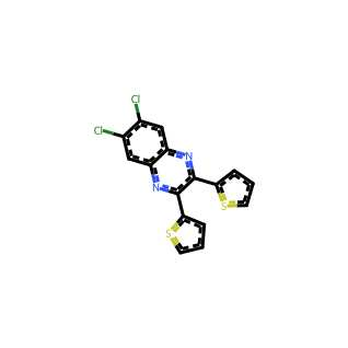 Clc1cc2nc(-c3cccs3)c(-c3cccs3)nc2cc1Cl